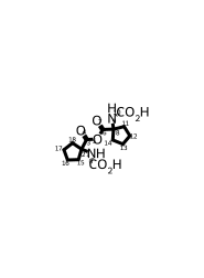 O=C(O)NC1(C(=O)OC(=O)C2(NC(=O)O)CCCC2)CCCC1